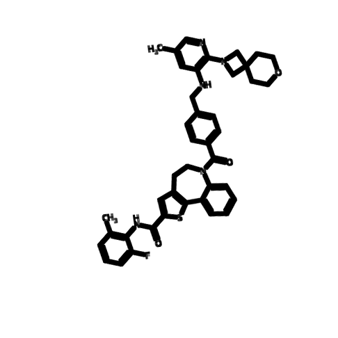 Cc1cnc(N2CC3(CCOCC3)C2)c(NCc2ccc(C(=O)N3CCc4cc(C(=O)Nc5c(C)cccc5F)sc4-c4ccccc43)cc2)c1